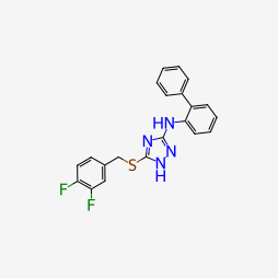 Fc1ccc(CSc2nc(Nc3ccccc3-c3ccccc3)n[nH]2)cc1F